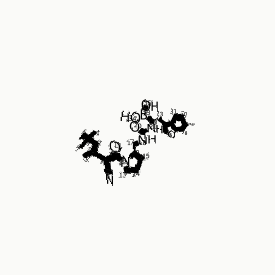 CC(CC(C)(C)C)C(C#N)C(=O)N1CCC[C@@H]1CNC(=O)N[C@@H](Cc1coc2ccccc12)B(O)O